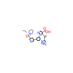 CCC[C@@H]1CCCCN1C(=O)c1cncc(-c2cccc(-n3ncc(C(=O)O)c3C3CC3c3cn(C)nn3)c2)c1